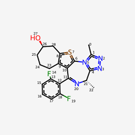 Cc1nnc2n1-c1sc3c(c1C(c1c(F)cccc1F)=N[C@H]2C)CCC[C@@H](O)C3